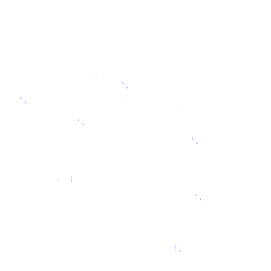 Cc1cncc(C(=O)NC23CC4CC(C2)CC(NC(=O)c2ccnc(C(F)(F)F)n2)(C4)C3)n1